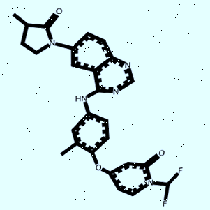 Cc1cc(Nc2ncnc3ccc(N4CCC(C)C4=O)cc23)ccc1Oc1ccn(C(F)F)c(=O)c1